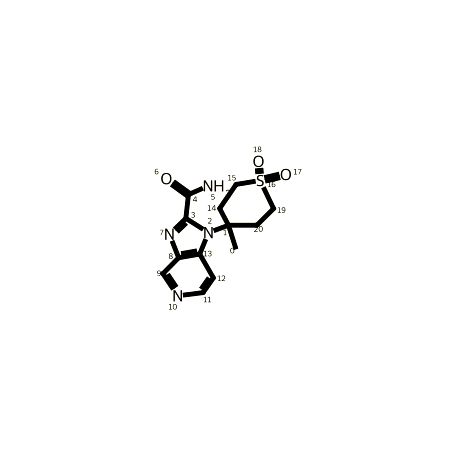 CC1(n2c(C(N)=O)nc3cnccc32)CCS(=O)(=O)CC1